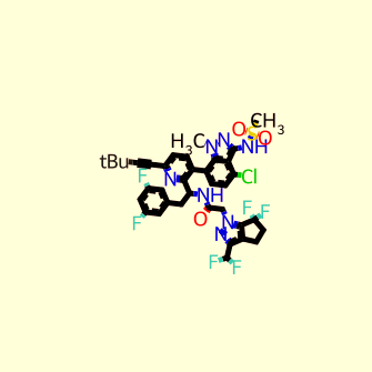 Cn1nc(NS(C)(=O)=O)c2c(Cl)ccc(-c3ccc(C#CC(C)(C)C)nc3C(Cc3cc(F)cc(F)c3)NC(=O)Cn3nc(C(F)F)c4c3C(F)(F)CC4)c21